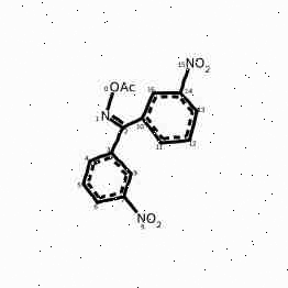 CC(=O)ON=C(c1cccc([N+](=O)[O-])c1)c1cccc([N+](=O)[O-])c1